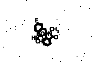 CNC(=O)c1ccc(F)cc1CC1(O)c2ccccc2C(=O)N1C